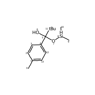 Cc1ccc(C(O)(O[SiH](C)C)C(C)(C)C)cc1